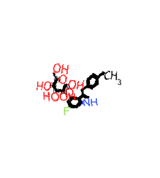 CCc1ccc(Cc2c[nH]c3cc(F)cc(O[C@]4(O)[C@@H](O)O[C@H](CO)[C@@H](O)[C@@H]4O)c23)cc1